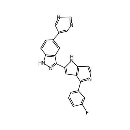 Fc1cccc(-c2nccc3[nH]c(-c4n[nH]c5ccc(-c6cncnc6)cc45)cc23)c1